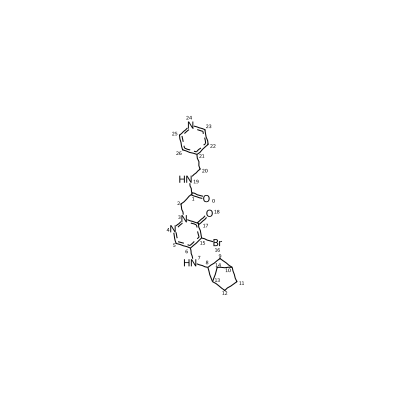 O=C(Cn1ncc(NC2CC3CCC2C3)c(Br)c1=O)NCc1ccncc1